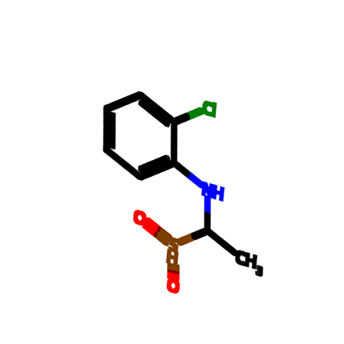 CC(Nc1ccccc1Cl)[SH](=O)=O